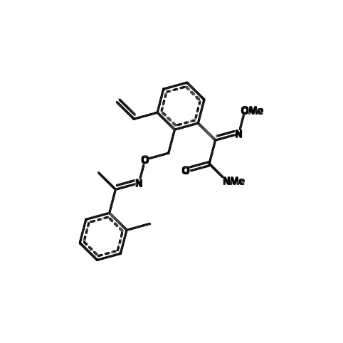 C=Cc1cccc(/C(=N\OC)C(=O)NC)c1CO/N=C(\C)c1ccccc1C